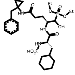 CCOP(=O)(OCC)C(O)[C@H](CCC(=O)NC1(Cc2ccccc2)CC1)NC(=O)[C@H](CC1CCCCC1)NC(=O)O